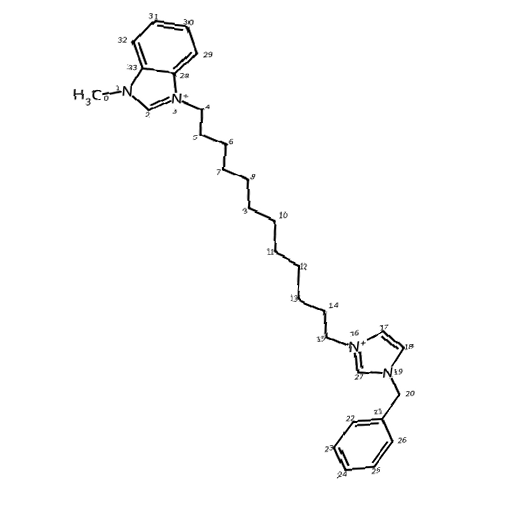 Cn1c[n+](CCCCCCCCCCCC[n+]2ccn(Cc3ccccc3)c2)c2ccccc21